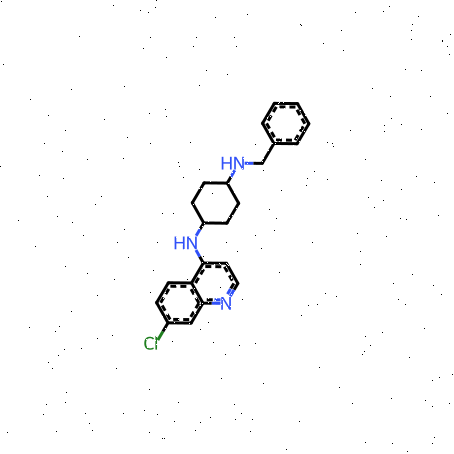 Clc1ccc2c(NC3CCC(NCc4ccccc4)CC3)ccnc2c1